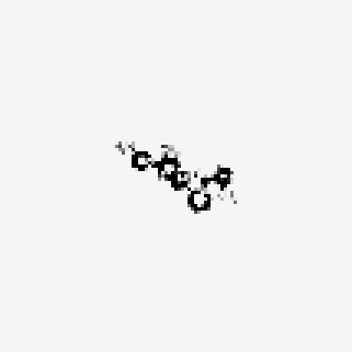 Cc1cn2nc([C@@H]3CCCCN3C(=O)c3scnc3C)cc2nc1N1CC[C@H](N)C1